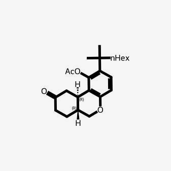 CCCCCCC(C)(C)c1ccc2c(c1OC(C)=O)[C@@H]1CC(=O)CC[C@H]1CO2